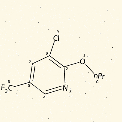 CCCOc1ncc(C(F)(F)F)cc1Cl